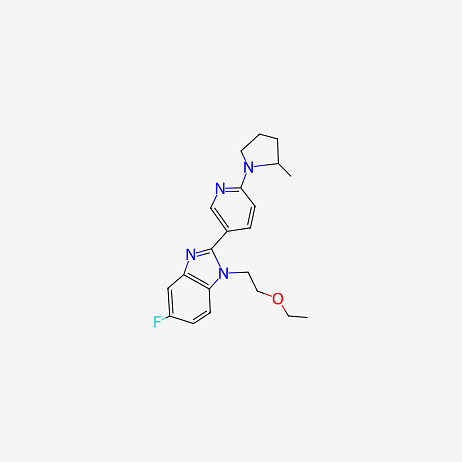 CCOCCn1c(-c2ccc(N3CCCC3C)nc2)nc2cc(F)ccc21